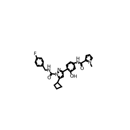 Cn1cccc1C(=O)Nc1ccc(-c2cc(C3CCC3)n(C(=O)NCc3ccc(F)cc3)n2)c(O)c1